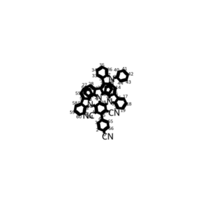 N#Cc1ccc(-c2c(C#N)c(-n3c4ccccc4c4ccccc43)c(-n3c4ccccc4c4c5c6ccccc6n(-c6ccccc6)c5ccc43)c(-n3c4ccccc4c4ccccc43)c2C#N)cc1